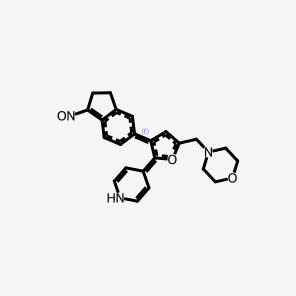 O=NC1=c2cc/c(=c3/cc(CN4CCOCC4)oc3=C3C=CNC=C3)cc2CC1